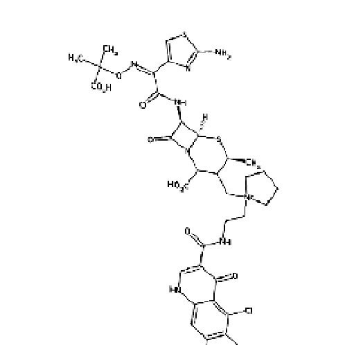 C[C@@H]1S[C@@H]2[C@H](NC(=O)/C(=N\OC(C)(C)C(=O)O)c3csc(N)n3)C(=O)N2C(C(=O)O)C1C[N+]1(CCNC(=O)c2c[nH]c3cc(O)c(O)c(Cl)c3c2=O)CCCC1